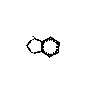 [c]1cc[c]c2c1OCO2